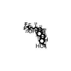 CC[C@]1(O)CC[C@@]2(C)[C@@H](CC[C@H]3[C@@H]4[C@H](C)C[C@H]([C@H](C)CC[C@](C)(O)C(F)(F)F)[C@@]4(C)CC[C@@H]32)C1